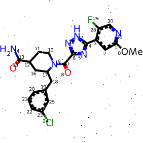 COc1cc(-c2nc(C(=O)N3CCC(C(N)=O)CC3Cc3cccc(Cl)c3)n[nH]2)c(F)cn1